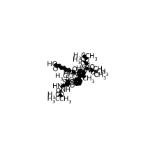 CSc1sc(C(=N)NC(=O)OC(C)(C)C)cc1S(=O)(=O)c1cccc(-c2c(C)cc(N/C(=N\C(=O)OC(C)(C)C)NC(=O)OC(C)(C)C)cc2NC(=O)NCCCCCC(=O)O)c1